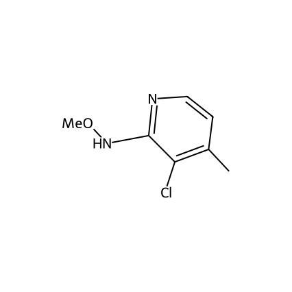 CONc1nccc(C)c1Cl